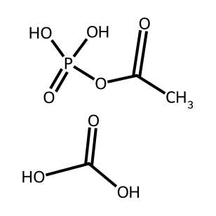 CC(=O)OP(=O)(O)O.O=C(O)O